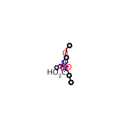 O=C(O)[C@H](Cc1ccc(-c2ccccc2)cc1)NC(=O)[C@@H]1Cc2ccc(OCCc3ccccc3)cc2CN1C(=O)CC1CCCC1